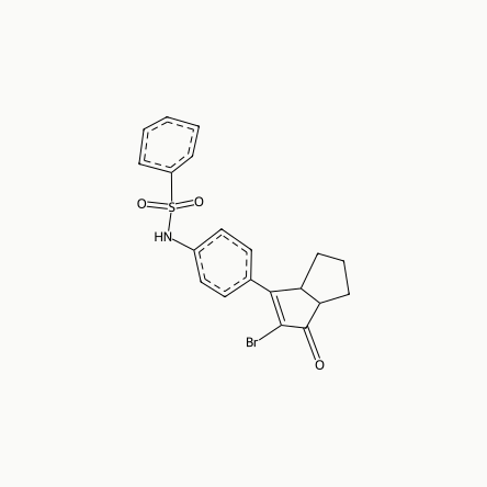 O=C1C(Br)=C(c2ccc(NS(=O)(=O)c3ccccc3)cc2)C2CCCC12